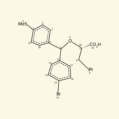 CSc1ccc(C(O[C@@H](CC(C)C)C(=O)O)c2ccc(Br)cc2)cc1